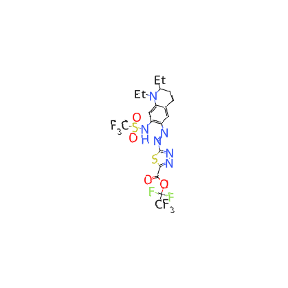 CCC1CCc2cc(N=Nc3nnc(C(=O)OC(F)(F)C(F)(F)F)s3)c(NS(=O)(=O)C(F)(F)F)cc2N1CC